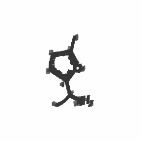 Cc1ccc(C(C)N)o1